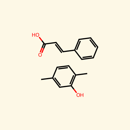 Cc1ccc(C)c(O)c1.O=C(O)C=Cc1ccccc1